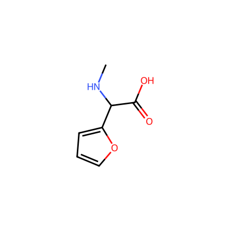 CNC(C(=O)O)c1ccco1